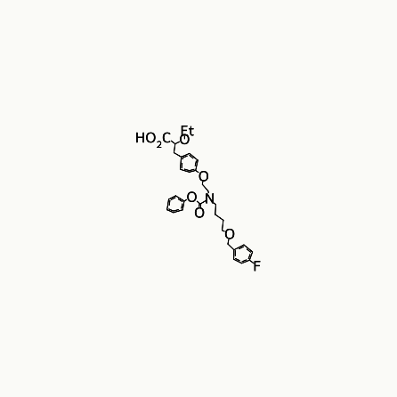 CCOC(Cc1ccc(OCCN(CCCCOCc2ccc(F)cc2)C(=O)Oc2ccccc2)cc1)C(=O)O